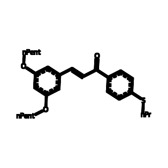 CCCCCOc1cc(/C=C/C(=O)c2ccc(SCCC)cc2)cc(OCCCCC)c1